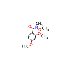 COc1ccc(C(=O)N(C)OC)c(OC)c1